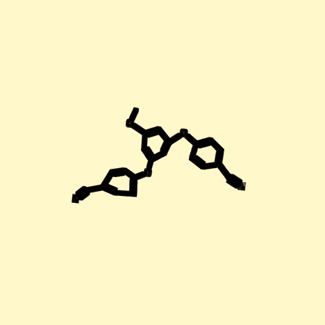 COc1cc(Oc2ccc(C#N)cc2)cc(Oc2ccc(C#N)cc2)c1